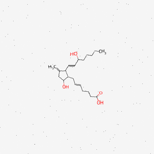 C=C1CC(O)C(CC=CCCCC(=O)O)C1C=CC(O)CCCCC